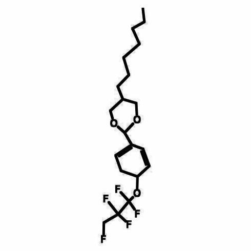 CCCCCCCC1COC(C2=CCC(OC(F)(F)C(F)(F)CF)C=C2)OC1